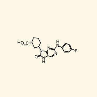 O=C(O)N1CCCC(n2c(=O)[nH]c3cnc(Nc4ccc(F)cc4)nc32)C1